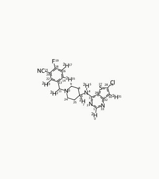 [2H]c1nc(N([2H])C2([2H])CCN(C([2H])c3c([2H])c([2H])c(F)c(C#N)c3[2H])CC2)c2sc(Cl)c([2H])c2n1